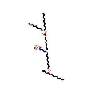 CCCCCCCCC(CCC)OCCCCCCCCN(CCCCCCCC(=O)OC(CCCCCCCC)CCCCCCCC)CCCNS(C)(=O)=O